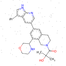 CC(C)c1c[nH]c2ncc(-c3cc4c(c(C5COCCN5)c3)CN(C(=O)C(C)(C)O)CC4)cc12